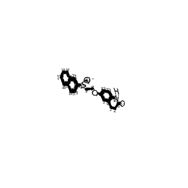 O=C1CCc2cc(OCC[S+]([O-])c3ccc4ccccc4c3)ccc2N1